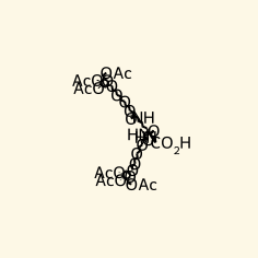 CC(=O)OC[C@H]1O[C@@H](OCCOCCOCCOCC(=O)NCCCC[C@H](NC(=O)COCCOCCOCO[C@H]2C[C@@H](OC(C)=O)[C@@H](OC(C)=O)[C@@H](COC(C)=O)O2)C(=O)NCC(=O)O)C[C@@H](OC(C)=O)[C@H]1OC(C)=O